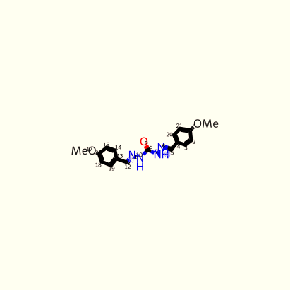 COc1ccc(/C=N/NC(=O)N/N=C/c2ccc(OC)cc2)cc1